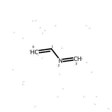 [CH]=CN=[CH]